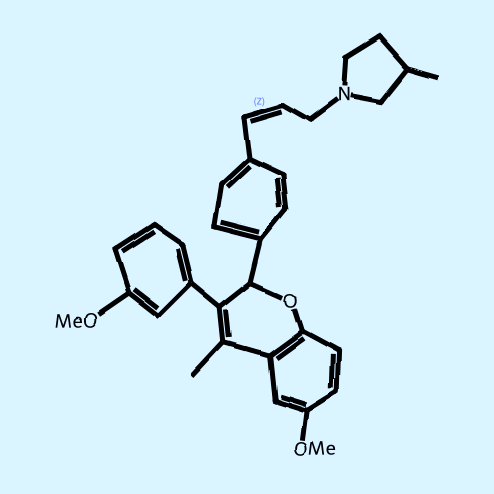 COc1cccc(C2=C(C)c3cc(OC)ccc3OC2c2ccc(/C=C\CN3CCC(C)C3)cc2)c1